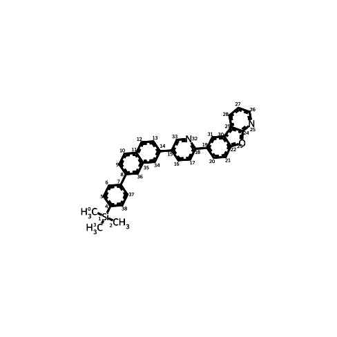 C[Si](C)(C)c1ccc(-c2ccc3ccc(-c4ccc(-c5ccc6oc7ncccc7c6c5)nc4)cc3c2)cc1